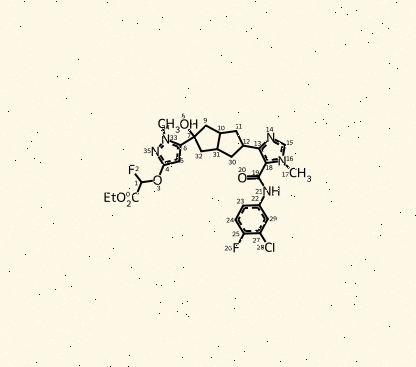 CCOC(=O)C(F)Oc1cc(C2(O)CC3CC(c4ncn(C)c4C(=O)Nc4ccc(F)c(Cl)c4)CC3C2)n(C)n1